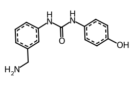 NCc1cccc(NC(=O)Nc2ccc(O)cc2)c1